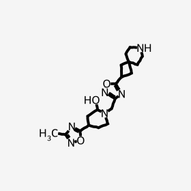 Cc1noc(C2CCN(Cc3noc(C4CC5(CCNCC5)C4)n3)C(O)C2)n1